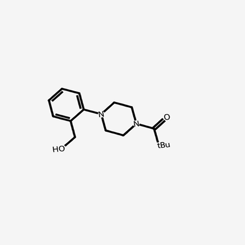 CC(C)(C)C(=O)N1CCN(c2ccccc2CO)CC1